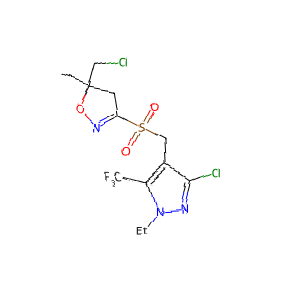 CCn1nc(Cl)c(CS(=O)(=O)C2=NOC(C)(CCl)C2)c1C(F)(F)F